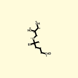 CCC(C)(CCCC=O)OCC(O)CO